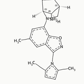 Cc1cc(N2C[C@@H]3CC[C@H]2[C@@H]3N)c2onc(-n3c(C)ccc3C)c2c1